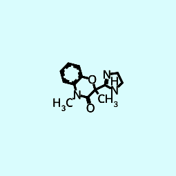 CN1C(=O)C(C)(C2=NCCN2)Oc2ccccc21